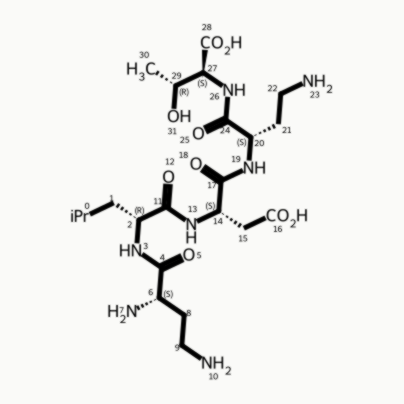 CC(C)C[C@@H](NC(=O)[C@@H](N)CCN)C(=O)N[C@@H](CC(=O)O)C(=O)N[C@@H](CCN)C(=O)N[C@H](C(=O)O)[C@@H](C)O